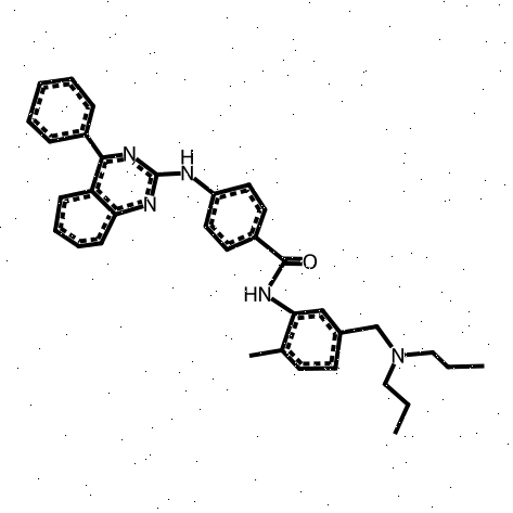 CCCN(CCC)Cc1ccc(C)c(NC(=O)c2ccc(Nc3nc(-c4ccccc4)c4ccccc4n3)cc2)c1